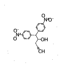 C#CCC(O)C(c1ccc([N+](=O)[O-])cc1)c1ccc([N+](=O)[O-])cc1